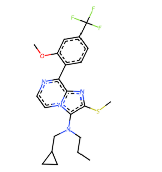 CCCN(CC1CC1)c1c(SC)nc2c(-c3ccc(C(F)(F)F)cc3OC)nccn12